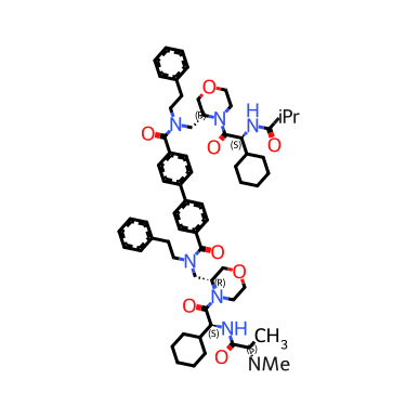 CN[C@@H](C)C(=O)N[C@H](C(=O)N1CCOC[C@H]1CN(CCc1ccccc1)C(=O)c1ccc(-c2ccc(C(=O)N(CCc3ccccc3)C[C@@H]3COCCN3C(=O)[C@@H](NC(=O)C(C)C)C3CCCCC3)cc2)cc1)C1CCCCC1